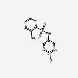 O=[N+]([O-])c1ccccc1S(=O)(=O)Nc1ccc(Cl)cc1